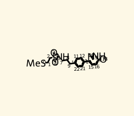 CSCCS(=O)(=O)NCCCc1ccc(-c2ccc(=O)[nH]n2)cc1